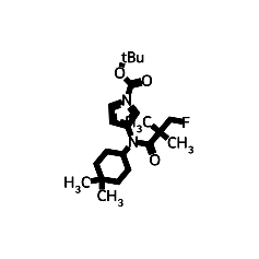 CC1(C)CCC(N(C(=O)C(C)(C)CF)c2ccn(C(=O)OC(C)(C)C)c2)CC1